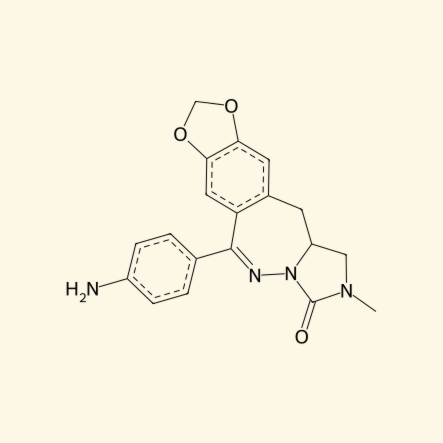 CN1CC2Cc3cc4c(cc3C(c3ccc(N)cc3)=NN2C1=O)OCO4